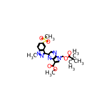 COC(=O)c1cn(COC(=O)C(C)(C)C)c2ncc(-c3nn(C)c4ccc(S(C)(=O)=O)cc34)nc12